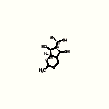 CC1O[C@@H]2C(CS1)C(O)[C@@H]([C@@H](O)C(C)C)C2O